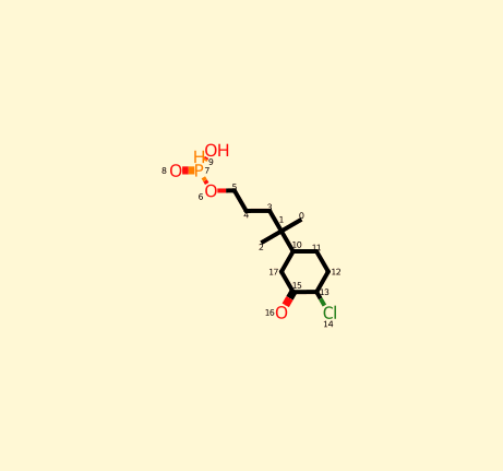 CC(C)(CCCO[PH](=O)O)C1CCC(Cl)C(=O)C1